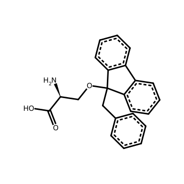 N[C@@H](COC1(Cc2ccccc2)c2ccccc2-c2ccccc21)C(=O)O